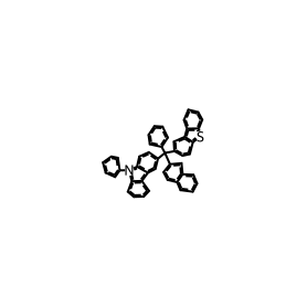 c1ccc(-n2c3ccccc3c3cc(C(c4ccccc4)(c4ccc5ccccc5c4)c4ccc5sc6ccccc6c5c4)ccc32)cc1